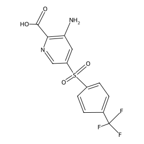 Nc1cc(S(=O)(=O)c2ccc(C(F)(F)F)cc2)cnc1C(=O)O